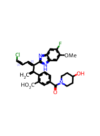 C=C(/C(=C\C=C/Cl)c1nc2cc(F)c(OC)cc2[nH]1)c1ccc(C(=O)N2CCC(O)CC2)cc1C(=O)O